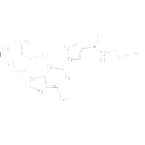 CCCNC(=O)c1cnn(-c2nc(N)c3ncn([C@@H]4O[C@H](CO)C(O)C4O)c3n2)c1